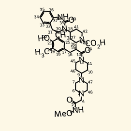 CONC(=O)CN1CCN(C2CCN(C(=O)C(Cc3cc(C)c(O)c(C)c3)[C@H]3CC(N4CCc5ccccc5NC4=O)CCN3C(=O)O)CC2)CC1